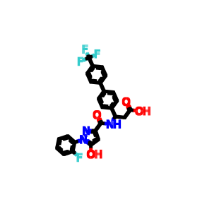 O=C(O)CC(NC(=O)c1cc(O)n(-c2ccccc2F)n1)c1ccc(-c2ccc(C(F)(F)F)cc2)cc1